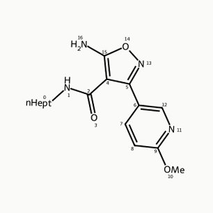 CCCCCCCNC(=O)c1c(-c2ccc(OC)nc2)noc1N